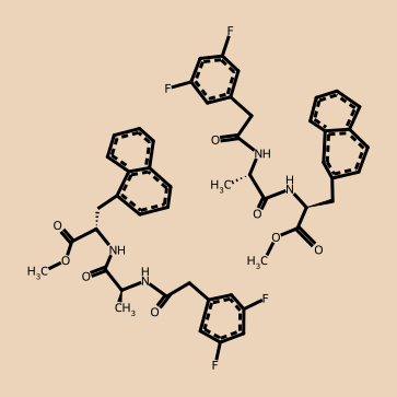 COC(=O)[C@H](Cc1ccc2ccccc2c1)NC(=O)[C@H](C)NC(=O)Cc1cc(F)cc(F)c1.COC(=O)[C@H](Cc1cccc2ccccc12)NC(=O)[C@H](C)NC(=O)Cc1cc(F)cc(F)c1